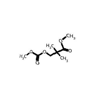 COC(=O)OCC(C)(C)C(=O)OC